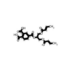 CC=CC(=O)OCC(COC(=O)C=CC)OC(=O)c1ccc(C(=O)O)c(C(=O)O)c1